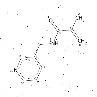 C=C(C)C(=O)NCc1cccnc1